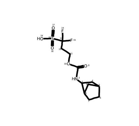 O=C(NC1CC2CCC1C2)OCCC(F)(F)S(=O)(=O)O